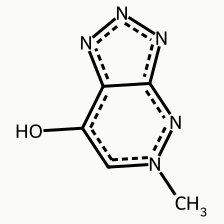 Cn1cc(O)c2nnnc-2n1